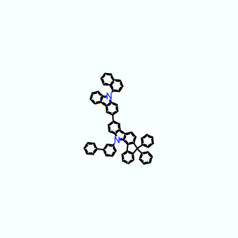 c1ccc(-c2cccc(-n3c4ccc(-c5ccc6c(c5)c5ccccc5n6-c5cccc6ccccc56)cc4c4ccc5c(c43)-c3ccccc3C5(c3ccccc3)c3ccccc3)c2)cc1